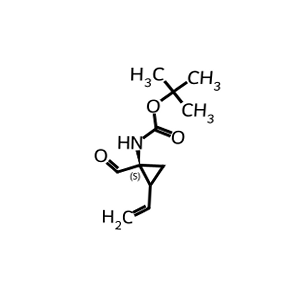 C=CC1C[C@]1(C=O)NC(=O)OC(C)(C)C